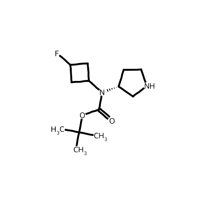 CC(C)(C)OC(=O)N(C1CC(F)C1)[C@@H]1CCNC1